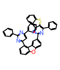 c1ccc(-c2cc(-c3cccc4oc5ccc(-c6nc(-c7ccccc7)c7sc8ccccc8c7n6)cc5c34)nc(-c3ccccc3)n2)cc1